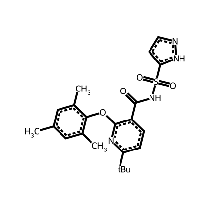 Cc1cc(C)c(Oc2nc(C(C)(C)C)ccc2C(=O)NS(=O)(=O)c2ccn[nH]2)c(C)c1